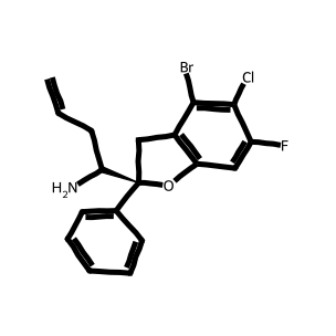 C=CCC(N)[C@@]1(c2ccccc2)Cc2c(cc(F)c(Cl)c2Br)O1